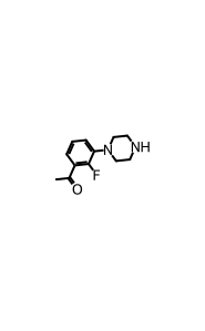 CC(=O)c1cccc(N2CCNCC2)c1F